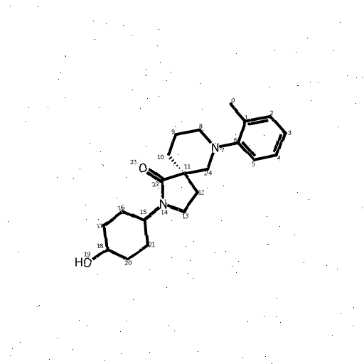 Cc1c[c]ccc1N1CCC[C@@]2(CCN(C3CCC(O)CC3)C2=O)C1